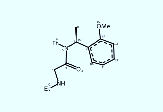 CCNCC(=O)N(CC)[C@@H](C)c1ccccc1OC